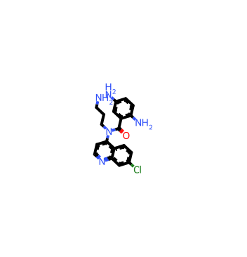 NCCCN(C(=O)c1cc(N)ccc1N)c1ccnc2cc(Cl)ccc12